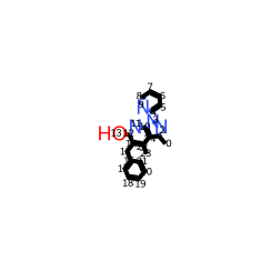 Cc1nn(-c2ccccn2)c2nc(O)c(Cc3ccccc3)c(C)c12